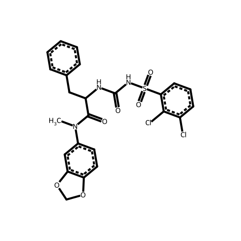 CN(C(=O)C(Cc1ccccc1)NC(=O)NS(=O)(=O)c1cccc(Cl)c1Cl)c1ccc2c(c1)OCO2